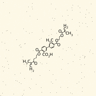 C=C(C)C(=O)CCCOC(=O)c1ccc(-c2ccc(C(=O)OCCOC(=O)C(=C)C)c(C)c2)cc1C(=O)O